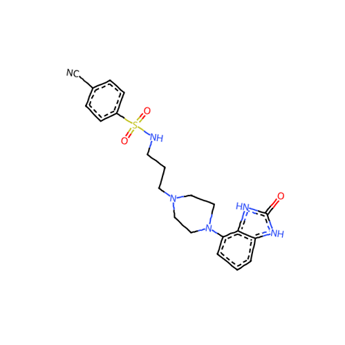 N#Cc1ccc(S(=O)(=O)NCCCN2CCN(c3cccc4[nH]c(=O)[nH]c34)CC2)cc1